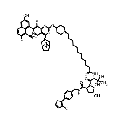 C#Cc1c(F)ccc2cc(O)cc(-c3ncc4c(N5CC6CCC(C5)N6)nc(OC5CCN(CCCCCCCCCCCC(=O)NC(C(=O)N6C[C@H](O)C[C@H]6C(=O)NCc6ccc(C7=C(C)C=CC7)cc6)C(C)(C)C)CC5)nc4c3F)c12